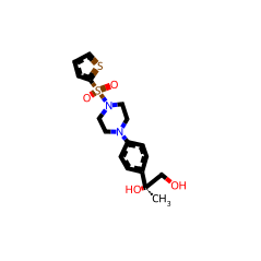 C[C@@](O)(CO)c1ccc(N2CCN(S(=O)(=O)c3cccs3)CC2)cc1